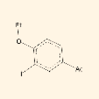 CCOc1ccc(C(C)=O)cc1I